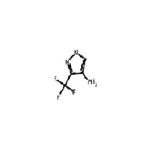 CC1=C[N]N=C1C(F)(F)F